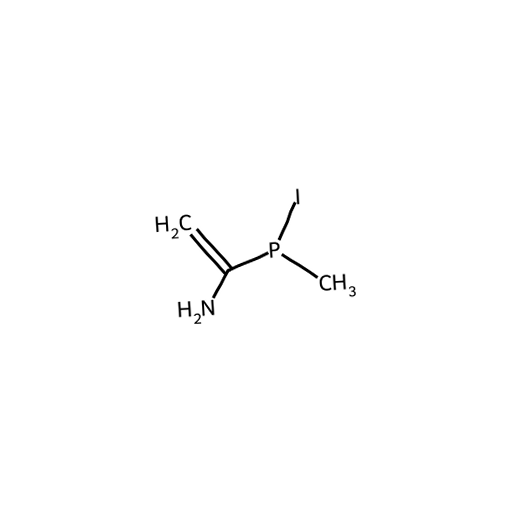 C=C(N)P(C)I